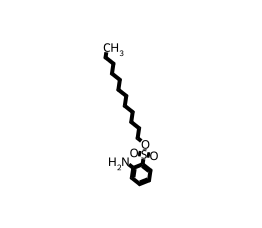 CCCCCCCCCCCCOS(=O)(=O)c1ccccc1N